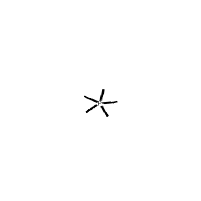 CP(C)(C)(C)C